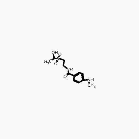 CNc1ccc(C(=O)NCCS(=O)(=O)C(C)O)cc1